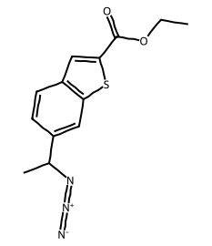 CCOC(=O)c1cc2ccc(C(C)N=[N+]=[N-])cc2s1